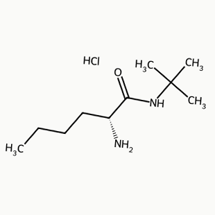 CCCC[C@@H](N)C(=O)NC(C)(C)C.Cl